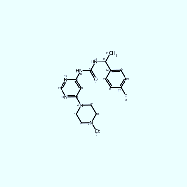 CCN1CCN(c2cc(NC(=O)NC(C)c3ccc(F)cc3)ncn2)CC1